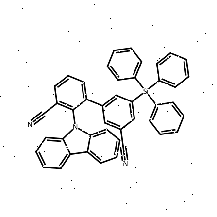 N#Cc1cc(-c2cccc(C#N)c2-n2c3ccccc3c3ccccc32)cc([Si](c2ccccc2)(c2ccccc2)c2ccccc2)c1